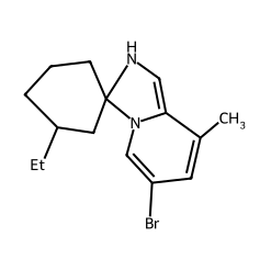 CCC1CCCC2(C1)NC=C1C(C)=CC(Br)=CN12